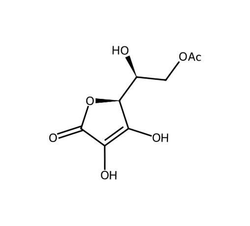 CC(=O)OC[C@H](O)[C@@H]1OC(=O)C(O)=C1O